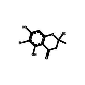 CCC1(C)CC(=O)c2c(cc(O)c(Br)c2O)O1